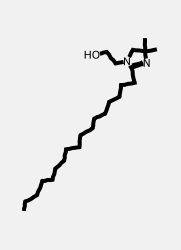 CCCCCCCCCCCCCCCCCC1=NC(C)(C)CN1CCO